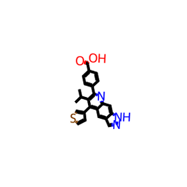 CC(C)c1c(-c2ccc(C(=O)O)cc2)nc2cc3[nH]ncc3cc2c1-c1ccsc1